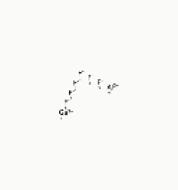 [Al+3].[F-].[F-].[F-].[F-].[F-].[F-].[Ga+3]